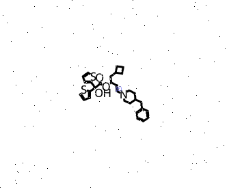 O=C(OC(/C=C/N1CCC(Cc2ccccc2)CC1)CC1CCC1)C(O)(c1cccs1)c1cccs1